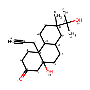 C#CCC12CCC(=O)CC1(O)CCC1CC(C)(C(C)(C)O)CCC12